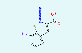 [N-]=[N+]=N/C(=C\c1cccc(I)c1Br)C(=O)O